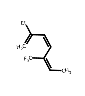 C=C(/C=C\C(=C/C)C(F)(F)F)CC